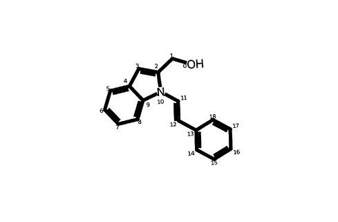 OCc1cc2ccccc2n1C=Cc1ccccc1